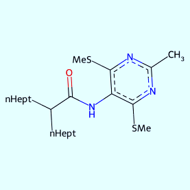 CCCCCCCC(CCCCCCC)C(=O)Nc1c(SC)nc(C)nc1SC